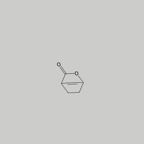 O=C1OC2C=CC1CC2